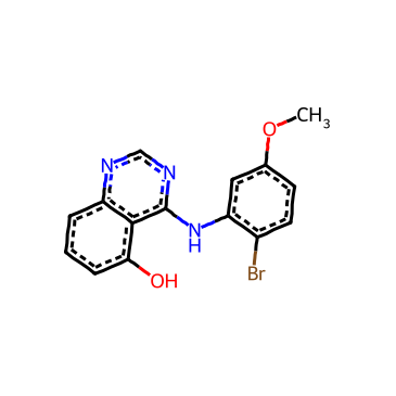 COc1ccc(Br)c(Nc2ncnc3cccc(O)c23)c1